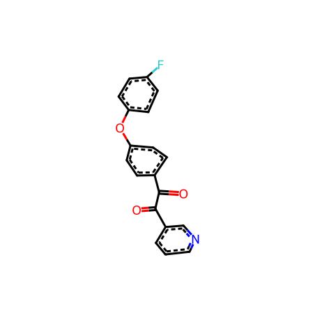 O=C(C(=O)c1cccnc1)c1ccc(Oc2ccc(F)cc2)cc1